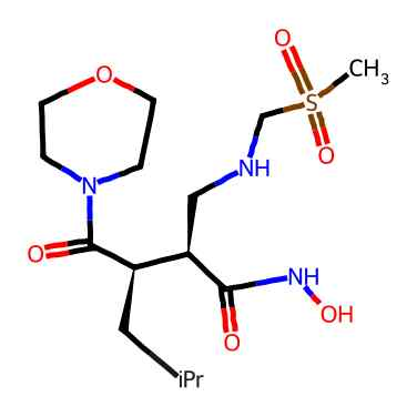 CC(C)C[C@@H](C(=O)N1CCOCC1)[C@@H](CNCS(C)(=O)=O)C(=O)NO